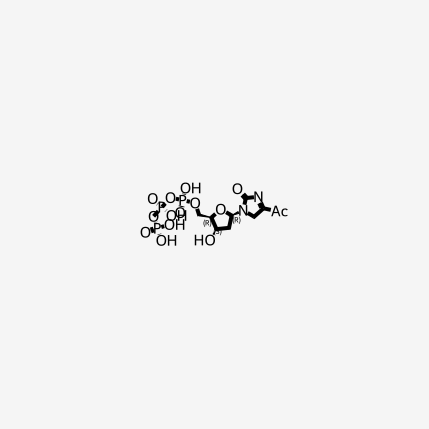 CC(=O)C1=NC(=O)N([C@H]2C[C@H](O)[C@@H](COP(=O)(O)OP(=O)(O)OP(=O)(O)O)O2)C1